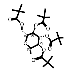 C[C@H]1O[C@H](COC(=O)C(C)(C)C)[C@@H](OC(=O)C(C)(C)C)[C@H](OC(=O)C(C)(C)C)[C@H]1OC(=O)C(C)(C)C